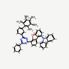 Bc1c(B)c(B)c(-c2cccc(-c3nc(-c4ccccc4)nc(-c4cccc5c4oc4cccc(-n6c7ccccc7c7ccccc76)c45)n3)c2)c(B)c1B